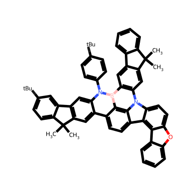 CC(C)(C)c1ccc(N2B3c4cc5c(cc4-n4c6ccc7oc8ccccc8c7c6c6ccc(c3c64)-c3cc4c(cc32)-c2cc(C(C)(C)C)ccc2C4(C)C)C(C)(C)c2ccccc2-5)cc1